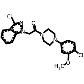 COc1cc(N2CCN(C(=O)Cn3nc(Cl)c4ccccc43)CC2)ccc1Cl